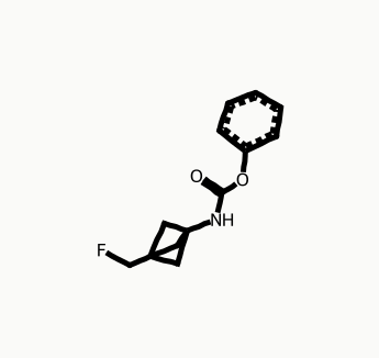 O=C(NC12CC(CF)(C1)C2)Oc1ccccc1